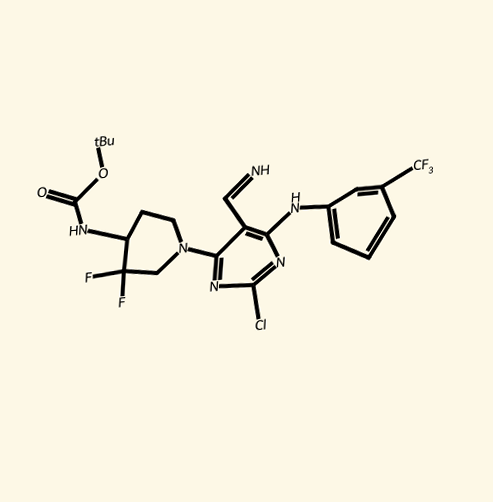 CC(C)(C)OC(=O)NC1CCN(c2nc(Cl)nc(Nc3cccc(C(F)(F)F)c3)c2C=N)CC1(F)F